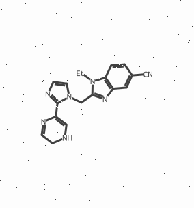 CCn1c(Cn2ccnc2C2=CNCC=N2)nc2cc(C#N)ccc21